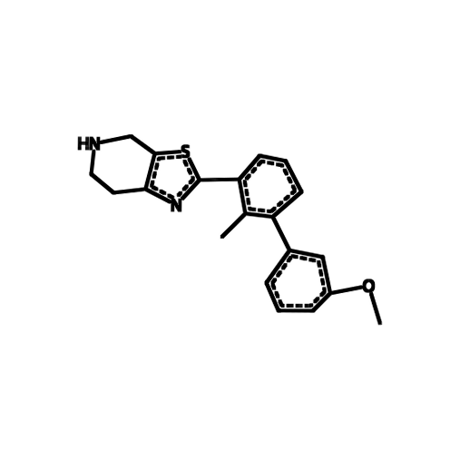 COc1cccc(-c2cccc(-c3nc4c(s3)CNCC4)c2C)c1